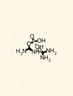 N=C(N)OP(=O)(O)O.NC(N)=O